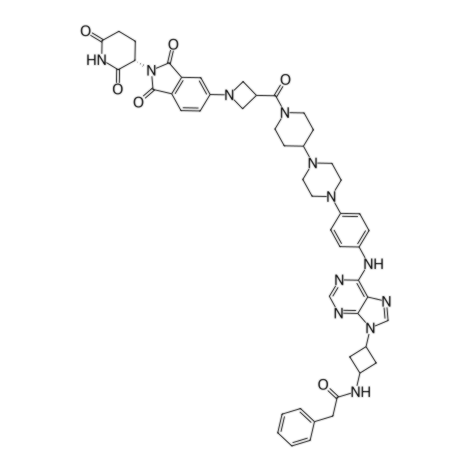 O=C1CC[C@H](N2C(=O)c3ccc(N4CC(C(=O)N5CCC(N6CCN(c7ccc(Nc8ncnc9c8ncn9C8CC(NC(=O)Cc9ccccc9)C8)cc7)CC6)CC5)C4)cc3C2=O)C(=O)N1